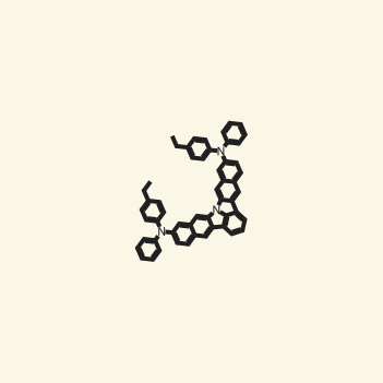 CCc1ccc(N(c2ccccc2)c2ccc3cc4c5cccc6c7cc8ccc(N(c9ccccc9)c9ccc(CC)cc9)cc8cc7n(c4cc3c2)c56)cc1